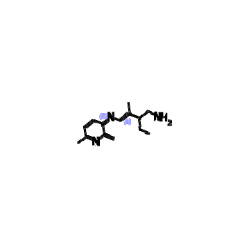 C=C1N=C(C)C=C/C1=N/C=C(\C)C(CC)CN